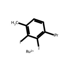 Cc1ccc(C(C)C)c(I)c1I.[Ru+2]